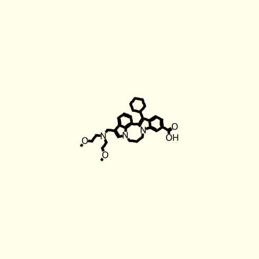 COCCN(CCOC)Cc1cn2c3c(cccc13)-c1c(C3CCCCC3)c3ccc(C(=O)O)cc3n1CCC2